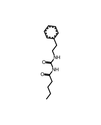 CCCCC(=O)NC(=O)NCCc1ccccc1